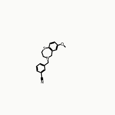 COc1ccc2c(c1)CN(Cc1cccc(C#N)c1)CCS2